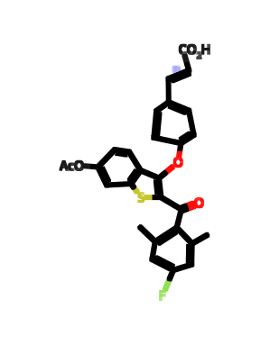 CC(=O)Oc1ccc2c(Oc3ccc(/C=C/C(=O)O)cc3)c(C(=O)c3c(C)cc(F)cc3C)sc2c1